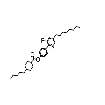 CCCCCCCCc1cnc(-c2ccc(OC(=O)C3CCC(CCCCC)CC3)cc2)c(F)c1